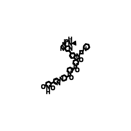 CC(C)n1cnc2cc(-c3ccc4c(c3)N(C3CC(N5CCCCC5)C3)C(=O)C43CCN(C(=O)[C@@H]4CCCN(C(=O)C5CCN(c6ccc(C7CCC(=O)NC7=O)cn6)CC5)C4)CC3)nc(NC3CC3)c21